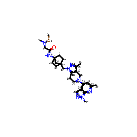 CSN(C)CC(=O)NC12CCC(Cn3nc(C)c4c3CCN(c3cc(C)nc5c3cnn5C)C4)(CC1)C2